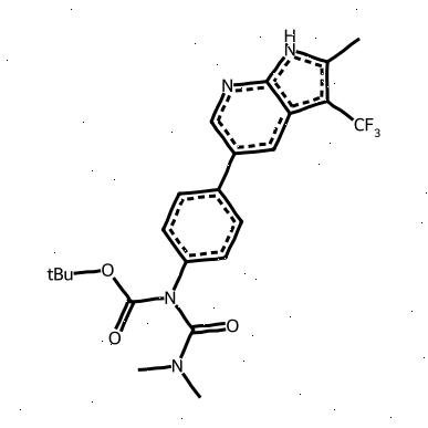 Cc1[nH]c2ncc(-c3ccc(N(C(=O)OC(C)(C)C)C(=O)N(C)C)cc3)cc2c1C(F)(F)F